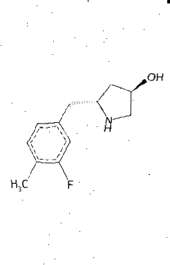 Cc1ccc(C[C@@H]2C[C@@H](O)CN2)cc1F